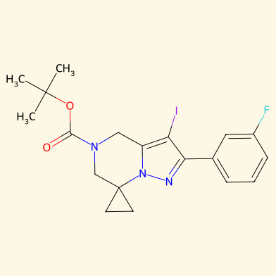 CC(C)(C)OC(=O)N1Cc2c(I)c(-c3cccc(F)c3)nn2C2(CC2)C1